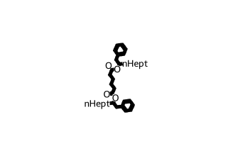 CCCCCCCC(Cc1ccccc1)OC(=O)CCCCC(=O)OC(CCCCCCC)Cc1ccccc1